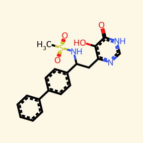 CS(=O)(=O)NC(Cc1nc[nH]c(=O)c1O)c1ccc(-c2ccccc2)cc1